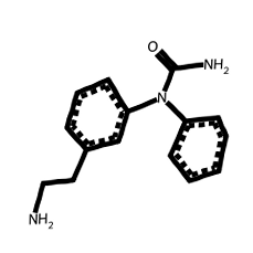 NCCc1cccc(N(C(N)=O)c2ccccc2)c1